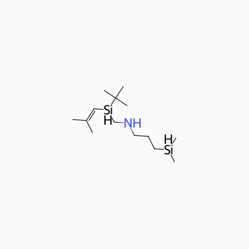 CC(C)=C[SiH](CNCCC[SiH](C)C)C(C)(C)C